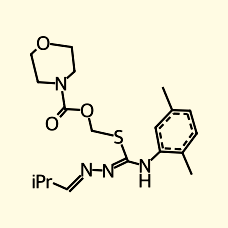 Cc1ccc(C)c(N/C(=N/N=C/C(C)C)SCOC(=O)N2CCOCC2)c1